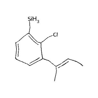 CC=C(C)c1cccc([SiH3])c1Cl